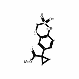 COC(=O)C1(c2ccc3c(c2)OCS(=O)(=O)N3)CC1